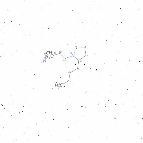 C#N.CCCCC1CCCN1CCC